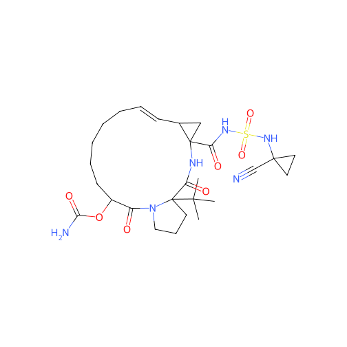 CC(C)(C)C12CCCN1C(=O)C(OC(N)=O)CCCCC/C=C/C1CC1(C(=O)NS(=O)(=O)NC1(C#N)CC1)NC2=O